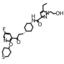 CCc1cc(C(=O)N[C@H]2CC[C@@H](CCC(=O)c3cc(F)cnc3OC3CCSCC3)CC2)nn1CCO